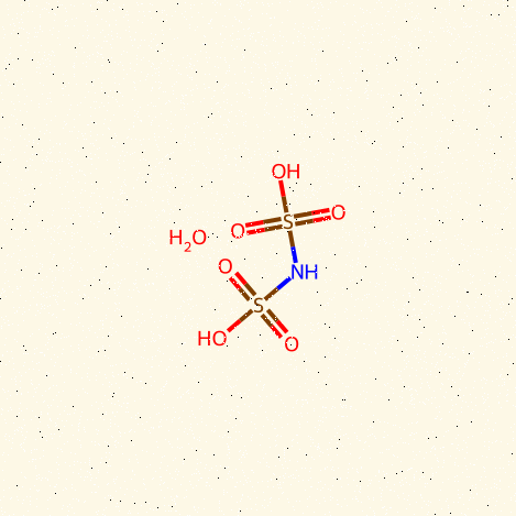 O.O=S(=O)(O)NS(=O)(=O)O